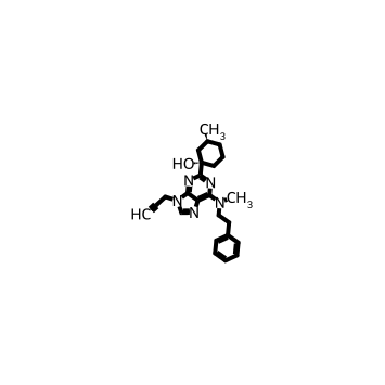 C#CCn1cnc2c(N(C)CCc3ccccc3)nc([C@]3(O)CCC[C@@H](C)C3)nc21